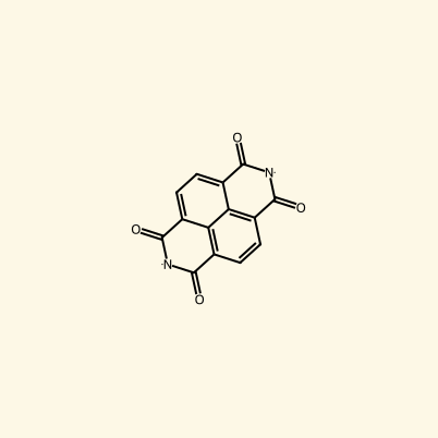 O=C1[N]C(=O)c2ccc3c4c(ccc1c24)C(=O)[N]C3=O